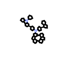 c1ccc(-n2c3ccccc3c3ccc(-c4ccc(N(c5ccc(-c6cccc7ccccc67)cc5)c5cc6ccc7cccc8c9cccc%10ccc%11cccc(c(c5)c6c78)c%11c%109)cc4)cc32)cc1